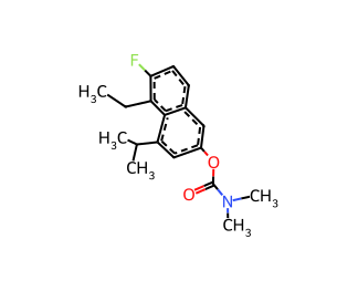 CCc1c(F)ccc2cc(OC(=O)N(C)C)cc(C(C)C)c12